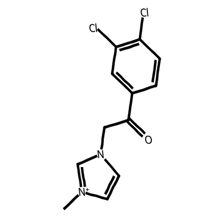 C[n+]1ccn(CC(=O)c2ccc(Cl)c(Cl)c2)c1